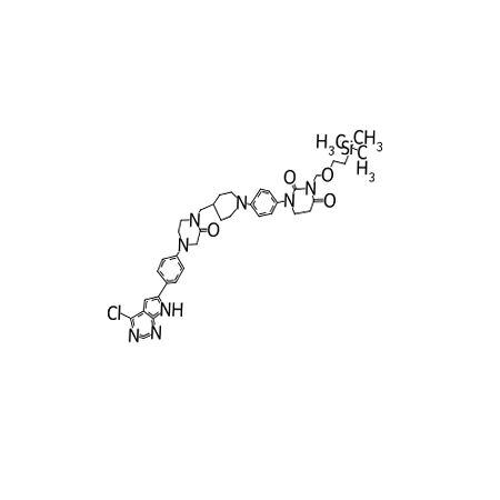 C[Si](C)(C)CCOCN1C(=O)CCN(c2ccc(N3CCC(CN4CCN(c5ccc(-c6cc7c(Cl)ncnc7[nH]6)cc5)CC4=O)CC3)cc2)C1=O